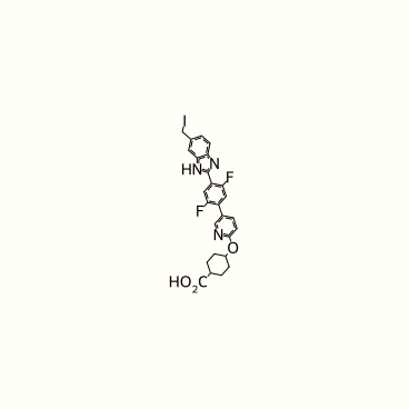 O=C(O)C1CCC(Oc2ccc(-c3cc(F)c(-c4nc5ccc(CI)cc5[nH]4)cc3F)cn2)CC1